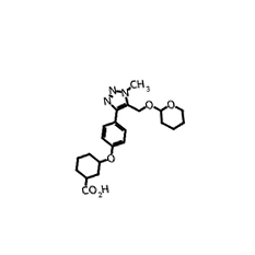 Cn1nnc(-c2ccc(OC3CCCC(C(=O)O)C3)cc2)c1COC1CCCCO1